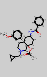 COc1cccc([C@@]23CCN(CC4CC4)C[C@@]2(OC(C)=O)CC[C@H](NC(=O)c2ccccc2)C3)c1